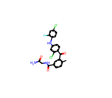 Cc1ccc(C(=O)NCC(N)=O)cc1C(=O)c1ccc(Nc2ccc(Cl)cc2F)cc1Cl